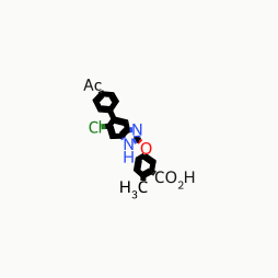 CC(=O)c1ccc(-c2cc3nc(Oc4ccc(C)c(C(=O)O)c4)[nH]c3cc2Cl)cc1